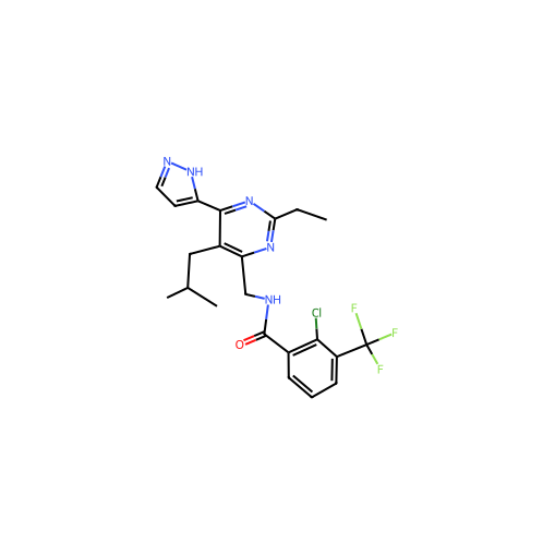 CCc1nc(CNC(=O)c2cccc(C(F)(F)F)c2Cl)c(CC(C)C)c(-c2ccn[nH]2)n1